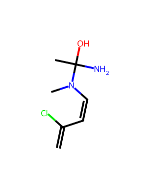 C=C(Cl)/C=C\N(C)C(C)(N)O